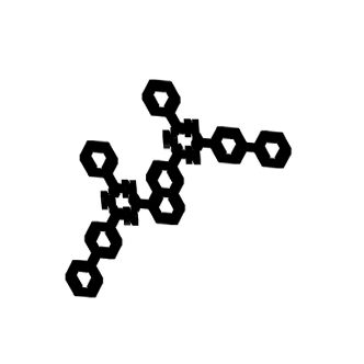 c1ccc(-c2ccc(-c3nc(-c4ccccc4)nc(-c4ccc5c(-c6nc(-c7ccccc7)nc(-c7ccc(-c8ccccc8)cc7)n6)cccc5c4)n3)cc2)cc1